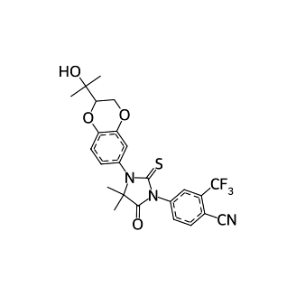 CC(C)(O)C1COc2cc(N3C(=S)N(c4ccc(C#N)c(C(F)(F)F)c4)C(=O)C3(C)C)ccc2O1